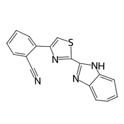 N#Cc1ccccc1-c1csc(-c2nc3ccccc3[nH]2)n1